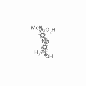 CNC(Cc1ccc(-c2noc(-c3ccc(N(C)CCO)cc3)n2)cc1)C(=O)O